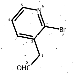 O=CCc1cccnc1Br